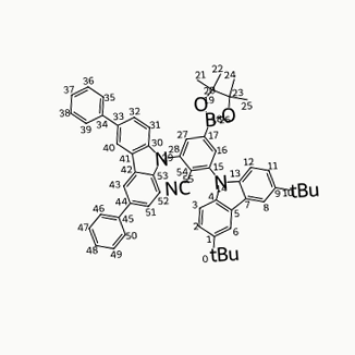 CC(C)(C)c1ccc2c(c1)c1cc(C(C)(C)C)ccc1n2-c1cc(B2OC(C)(C)C(C)(C)O2)cc(-n2c3ccc(-c4ccccc4)cc3c3cc(-c4ccccc4)ccc32)c1C#N